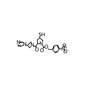 O=C(C1CC(S)CN1C(=O)OCc1ccc([N+](=O)[O-])cc1)N1CC(n2ccnc2)C1